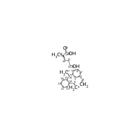 C=Cc1ccccc1.C=Cc1ccccc1C=C.CC(=CCCO)C(=O)O